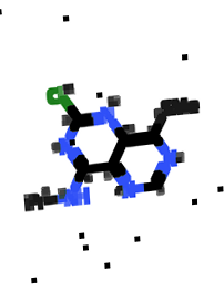 CSc1ncnc2c(NC(C)C)nc(Cl)nc12